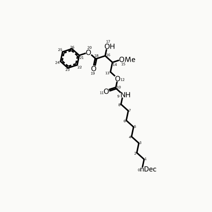 CCCCCCCCCCCCCCCCCCNC(=O)OCC(OC)C(O)C(=O)Oc1ccccc1